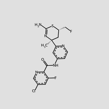 C[C@@]1(c2cc(NC(=O)c3ncc(Cl)cc3F)ccn2)C[C@@H](CF)SC(N)=N1